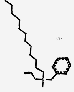 C=CC[N+](C)(CCCCCCCCCCCC)Cc1ccccc1.[Cl-]